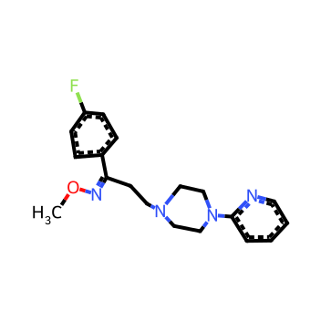 CON=C(CCN1CCN(c2ccccn2)CC1)c1ccc(F)cc1